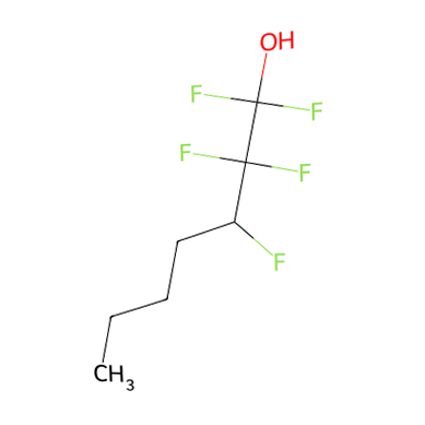 CCCCC(F)C(F)(F)C(O)(F)F